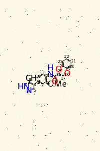 COc1cc(-c2cn[nH]c2C)ccc1NC(=O)[C@@H]1COc2ccccc2O1